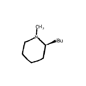 CCC(C)[C@H]1CCCCN1C